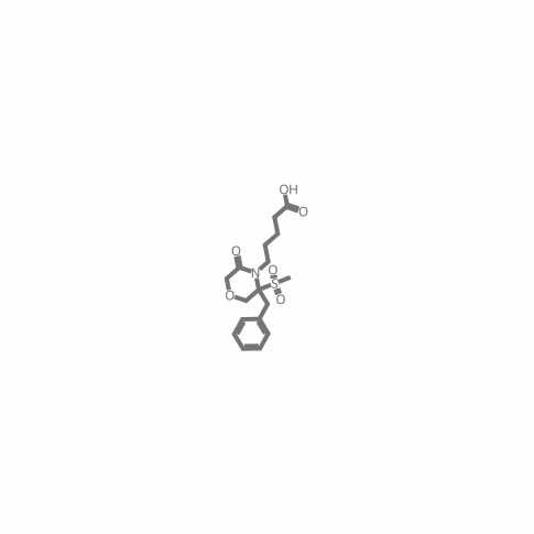 CS(=O)(=O)C1(Cc2ccccc2)COCC(=O)N1CCCCC(=O)O